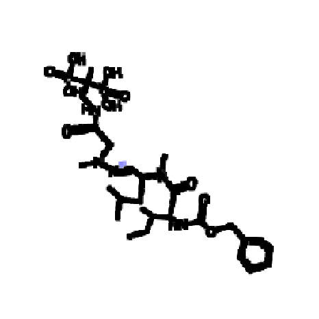 CCC(C)C(NC(=O)OCc1ccccc1)C(=O)N(C)C(/C=N/N(C)CC(=O)NCC(C)(P(=O)(O)O)P(=O)(O)O)CC(C)C